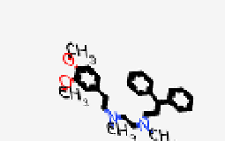 COc1ccc(CCN(C)CCN(C)CCC(c2ccccc2)c2ccccc2)cc1OC